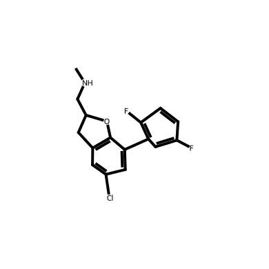 CNCC1Cc2cc(Cl)cc(-c3cc(F)ccc3F)c2O1